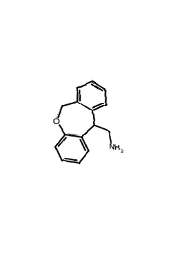 NCC1c2ccccc2COc2ccccc21